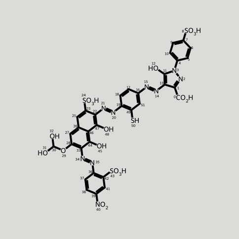 O=C(O)c1nn(-c2ccc(S(=O)(=O)O)cc2)c(O)c1N=Nc1ccc(N=Nc2c(S(=O)(=O)O)cc3cc(OC(O)O)c(N=Nc4ccc([N+](=O)[O-])cc4S(=O)(=O)O)c(O)c3c2O)c(S)c1